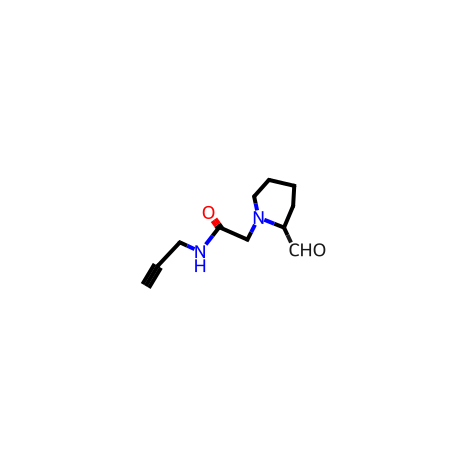 C#CCNC(=O)CN1CCCCC1C=O